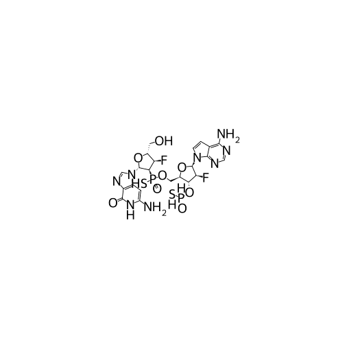 Nc1cc2c(ncn2[C@@H]2O[C@H](CO)[C@@H](F)[C@H]2P(=O)(S)OC[C@H]2O[C@@H](n3ccc4c(N)ncnc43)[C@@H](F)[C@@H]2O[PH](=O)S)c(=O)[nH]1